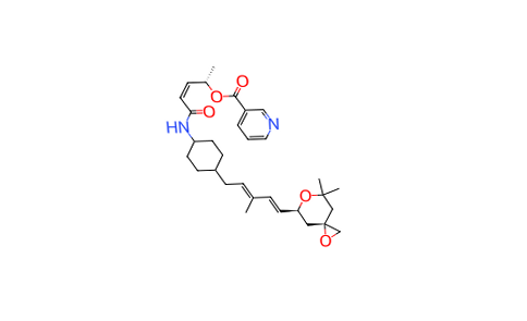 CC(/C=C/[C@@H]1C[C@]2(CO2)CC(C)(C)O1)=C\CC1CCC(NC(=O)/C=C\[C@H](C)OC(=O)c2cccnc2)CC1